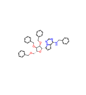 c1ccc(CNc2ncnn3c([C@@H]4O[C@H](COCc5ccccc5)[C@@H](OCc5ccccc5)[C@H]4OCc4ccccc4)ccc23)cc1